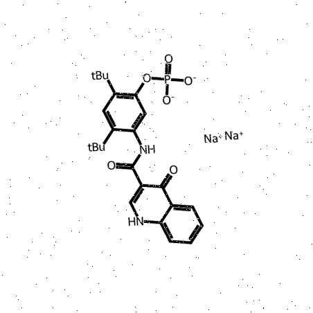 CC(C)(C)c1cc(C(C)(C)C)c(OP(=O)([O-])[O-])cc1NC(=O)c1c[nH]c2ccccc2c1=O.[Na+].[Na+]